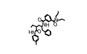 CCCN(CCC)C(=O)c1cccc(C(=O)NC([CH]C(CC)C(=O)Nc2ccc(C)cc2)Cc2ccccc2)c1